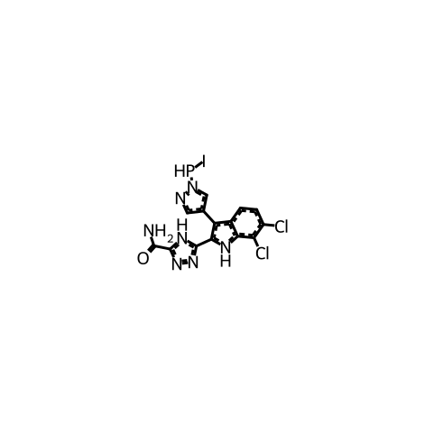 NC(=O)c1nnc(-c2[nH]c3c(Cl)c(Cl)ccc3c2-c2cnn(PI)c2)[nH]1